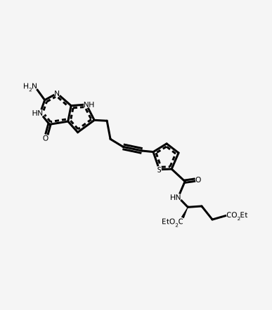 CCOC(=O)CC[C@H](NC(=O)c1ccc(C#CCCc2cc3c(=O)[nH]c(N)nc3[nH]2)s1)C(=O)OCC